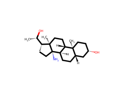 C[C@H](O)[C@H]1CC[C@]2(N)[C@@H]3CC[C@H]4C[C@@H](O)CC[C@]4(C)[C@H]3CC[C@]12C